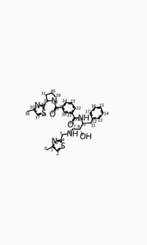 Cc1csc(CNC[C@@H](O)[C@H](Cc2ccccc2)NC(=O)c2cccc(C(=O)N3CCC[C@@H]3c3nc(C)cs3)c2)n1